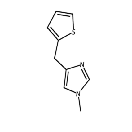 Cn1cnc(Cc2cccs2)c1